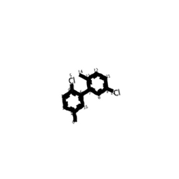 Cc1ccc(Cl)c(-c2cc(Cl)[c]cc2C)c1